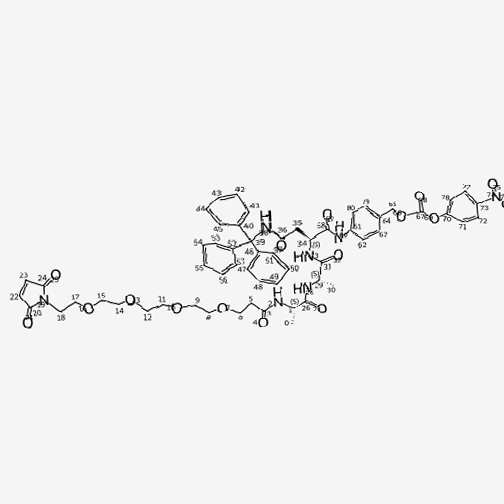 C[C@H](NC(=O)CCOCCOCCOCCOCCN1C(=O)C=CC1=O)C(=O)N[C@@H](C)C(=O)N[C@@H](CC(=O)NC(c1ccccc1)(c1ccccc1)c1ccccc1)C(=O)Nc1ccc(COC(=O)Oc2ccc([N+](=O)[O-])cc2)cc1